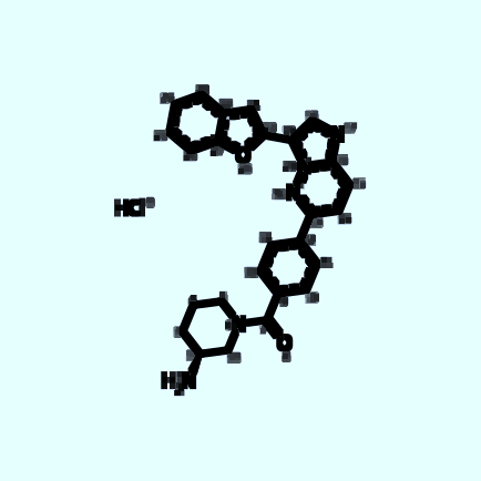 Cl.N[C@H]1CCCN(C(=O)c2ccc(-c3ccc4ncc(-c5cc6ccccc6o5)n4n3)cc2)C1